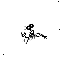 C[C@@H](CCN1CCOCC1)Oc1nc2c(c(N3CCN(C=CC=O)CC3)n1)CCN(c1cc(O)cc3ccccc13)C2